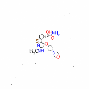 CNc1cc(O[C@H]2CC[C@H](N3CCOCC3)CC2)c2c3c(sc2n1)CC[C@@H]3C[C@@H](O)C(N)=O